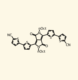 CCCCCCCCN1C(=O)C2=C(c3ccc(-c4ccc(C#N)s4)s3)N(CCCCCCCC)C(=O)C2=C1c1ccc(-c2ccc(C#N)s2)s1